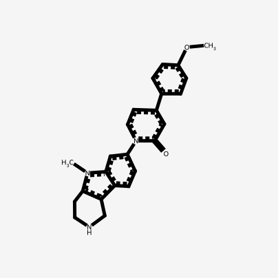 COc1ccc(-c2ccn(-c3ccc4c5c(n(C)c4c3)CCNC5)c(=O)c2)cc1